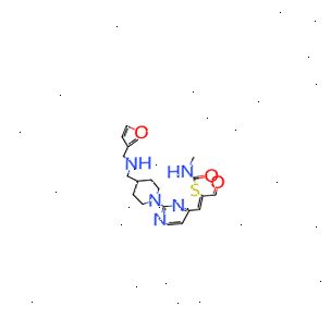 CNC(=O)S/C(C=O)=C\c1ccnc(N2CCC(CNCc3ccoc3)CC2)n1